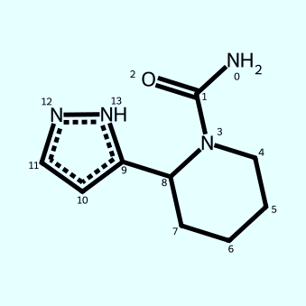 NC(=O)N1CCCCC1c1ccn[nH]1